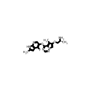 Cc1cc2c(F)c(Oc3ncnn4cc(OC[C@@H](C)N)c(C)c34)cnc2[nH]1